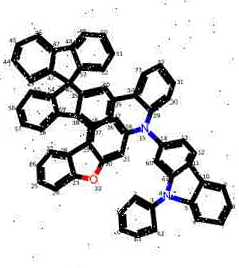 c1ccc(-n2c3ccccc3c3ccc(N(c4ccc5c(c4)oc4ccccc45)c4ccccc4-c4ccc5c(c4)C4(c6ccccc6-c6ccccc64)c4ccccc4-5)cc32)cc1